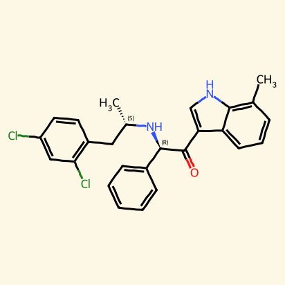 Cc1cccc2c(C(=O)[C@H](N[C@@H](C)Cc3ccc(Cl)cc3Cl)c3ccccc3)c[nH]c12